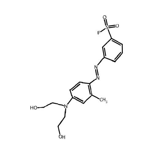 Cc1cc(N(CCO)CCO)ccc1/N=N/c1cccc(S(=O)(=O)F)c1